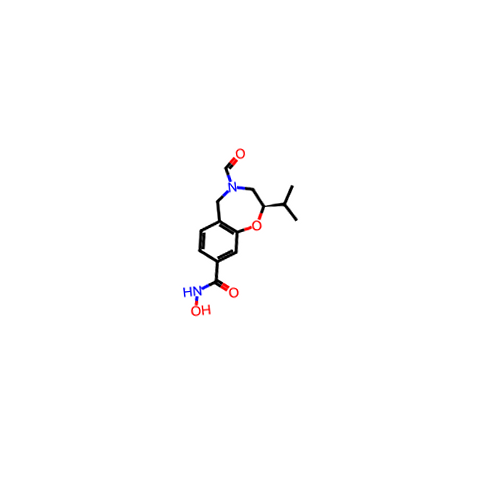 CC(C)[C@@H]1CN(C=O)Cc2ccc(C(=O)NO)cc2O1